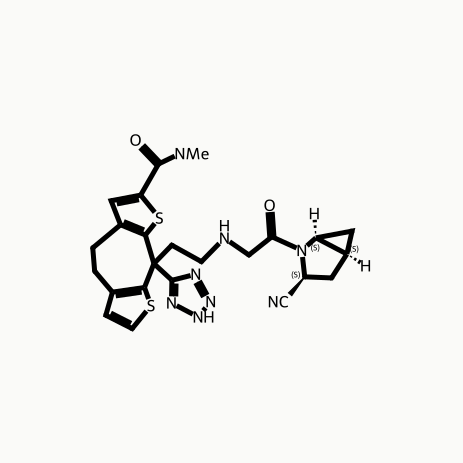 CNC(=O)c1cc2c(s1)C(CCNCC(=O)N1[C@H](C#N)C[C@@H]3C[C@@H]31)(c1nn[nH]n1)c1sccc1CC2